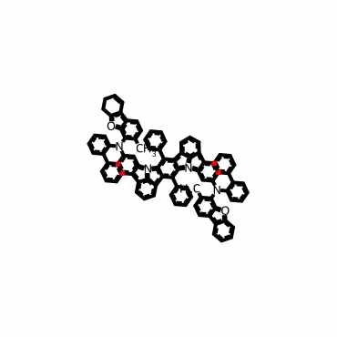 Cc1ccc2c3c(oc2c1N(c1ccc2c4cccc5c6c(-c7ccccc7)c7c(c(-c8ccccc8)c6n(c2c1)c45)c1cccc2c4ccc(N(c5ccccc5-c5ccccc5)c5c(C)ccc6c5oc5ccccc56)cc4n7c21)c1ccccc1-c1ccccc1)CCC=C3